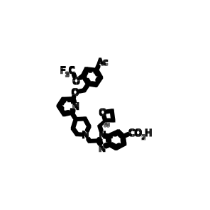 CC(=O)c1ccc(COc2cccc(C3CCN(Cc4nc5ccc(C(=O)O)cc5n4C[C@@H]4CCO4)CC3)n2)c(OC(F)(F)F)c1